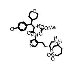 COC(=O)N[C@H](C(=O)NC1=C(CC[C@H]2CN[C@@H]3CCCS(=O)(=O)N2C3)CN=C1)C(c1ccc(Cl)cc1)C1CCOCC1